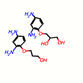 Nc1ccc(OCC(O)CO)c(N)c1.Nc1ccc(OCCCO)c(N)c1